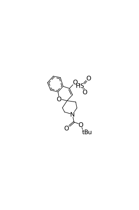 CC(C)(C)OC(=O)N1CCC2(C=C(O[SH](=O)=O)c3ccccc3O2)CC1